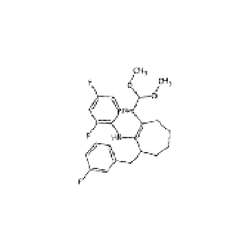 COC(OC)C(=N)C1=C(Nc2ccc(F)cc2F)C(Cc2cccc(F)c2)CCCC1